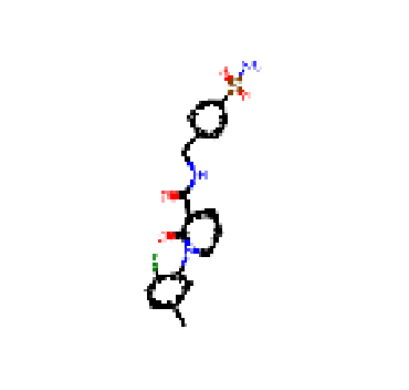 Cc1ccc(F)c(-n2cccc(C(=O)NCc3ccc(S(N)(=O)=O)cc3)c2=O)c1